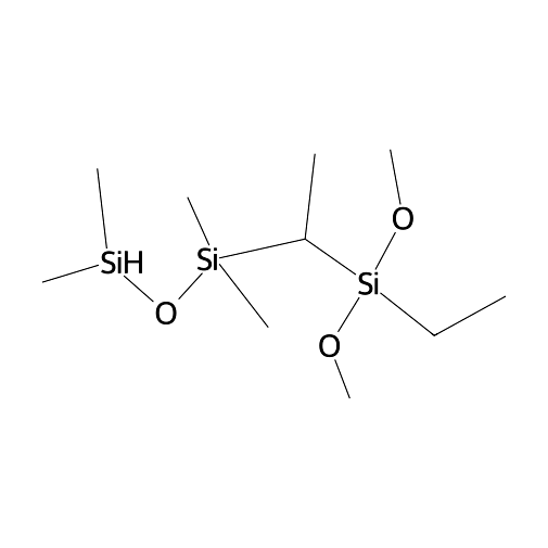 CC[Si](OC)(OC)C(C)[Si](C)(C)O[SiH](C)C